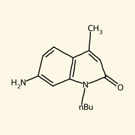 CCCCn1c(=O)cc(C)c2ccc(N)cc21